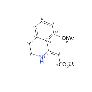 CCOC(=O)C=C1NCCc2cccc(OC)c21